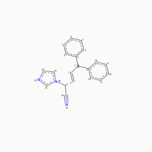 C=CB(c1ccccc1)c1ccccc1.N#CCn1ccnc1